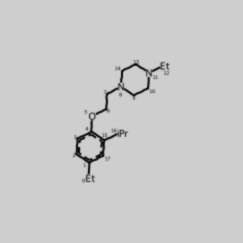 CCc1ccc(OCCN2CCN(CC)CC2)c(C(C)C)c1